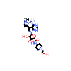 Cn1ccc(-c2cn([C@@H]3O[C@H](C(=O)NC4CCN(CCO)CC4)[C@@H](O)[C@H]3O)c3ncnc(N)c23)n1